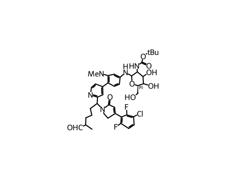 CNc1cc(NC2O[C@H](CO)C(O)C(O)C2NC(=O)OC(C)(C)C)ccc1-c1ccnc(C(CCCC(C)C=O)N2CCC(c3c(F)ccc(Cl)c3F)=CC2=O)c1